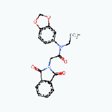 O=C(O)CN(C(=O)CN1C(=O)c2ccccc2C1=O)c1ccc2c(c1)OCO2